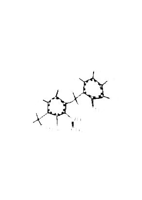 CNc1c(C)c(C(C)(C)C)c(C)c(C)c1C(C)(C)c1c(C)c(C)c(C)c(C)c1C